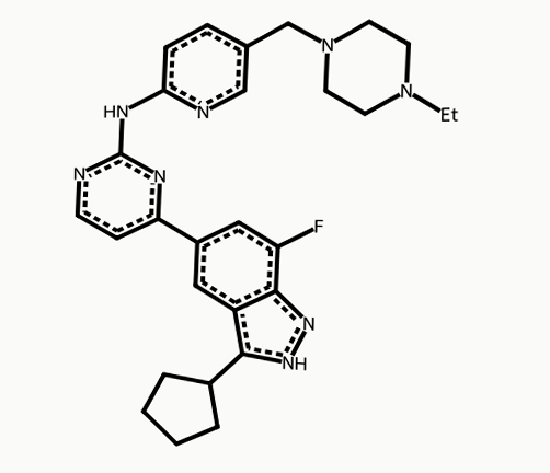 CCN1CCN(Cc2ccc(Nc3nccc(-c4cc(F)c5n[nH]c(C6CCCC6)c5c4)n3)nc2)CC1